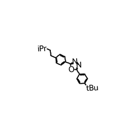 CC(C)CCc1ccc(-c2nnc(-c3ccc(C(C)(C)C)cc3)o2)cc1